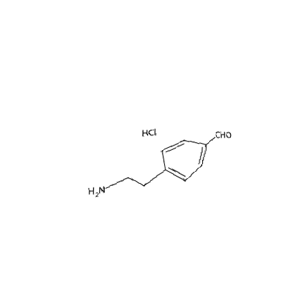 Cl.NCCc1ccc(C=O)cc1